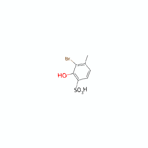 Cc1ccc(S(=O)(=O)O)c(O)c1Br